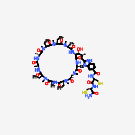 CC[C@@H]1NC(=O)[C@H]([C@H](O)[C@H](C)Cc2nc3cc(C(=O)N[C@@H](CS)C(=O)N[C@@H](CS)C(N)=O)ccc3[nH]2)NC(=O)[C@H](C(C)C)N(C)C(=O)[C@H](CC(C)C)N(C)C(=O)[C@H](CC(C)C)N(C)C(=O)[C@@H](C)NC(=O)[C@H](C)NC(=O)[C@H](CC(C)C)N(C)C(=O)[C@H](C(C)C)NC(=O)[C@H](CC(C)C)N(C)C(=O)CN(C)C1=O